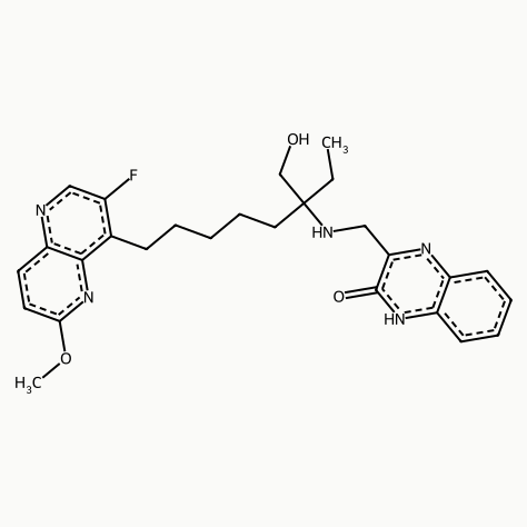 CCC(CO)(CCCCCc1c(F)cnc2ccc(OC)nc12)NCc1nc2ccccc2[nH]c1=O